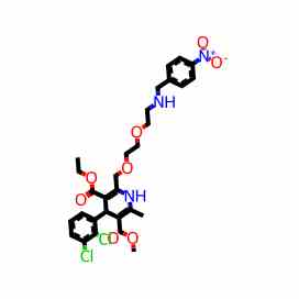 CCOC(=O)C1=C(COCCOCCNCc2ccc([N+](=O)[O-])cc2)NC(C)=C(C(=O)OC)C1c1cccc(Cl)c1Cl